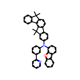 CC1(C)c2ccccc2-c2c1ccc1c2C(C)(C)c2cc(N(c3cccc(-c4ccccn4)c3)c3cccc4c3oc3ccccc34)ccc2-1